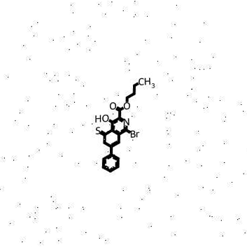 CCCCOC(=O)c1nc(Br)c2c(c1O)C(=S)CC(c1ccccc1)=C2